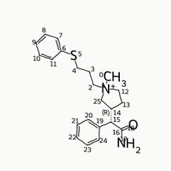 C[N+]1(CCCSc2ccccc2)CC[C@H](C(C(N)=O)c2ccccc2)C1